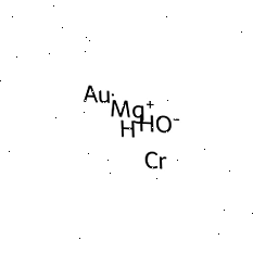 [Au].[Cr].[MgH+].[OH-]